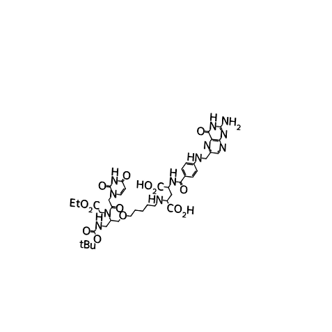 CCOC(=O)CN(C(=O)Cn1ccc(=O)[nH]c1=O)C(CNC(=O)OC(C)(C)C)COCCCCCNC(CC(NC(=O)c1ccc(NCc2cnc3nc(N)[nH]c(=O)c3n2)cc1)C(=O)O)C(=O)O